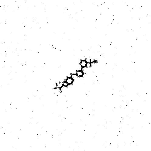 CN(C)C(=O)c1cc2ccc(Nc3nccc(-c4cc(C(C)(C)C#N)ccn4)n3)cc2[nH]1